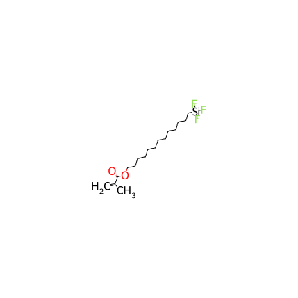 C=C(C)C(=O)OCCCCCCCCCCCCC[Si](F)(F)F